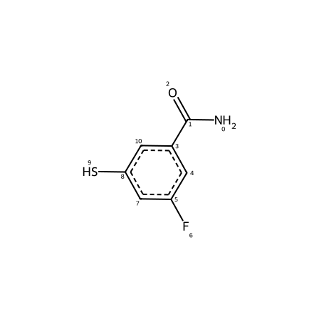 NC(=O)c1cc(F)cc(S)c1